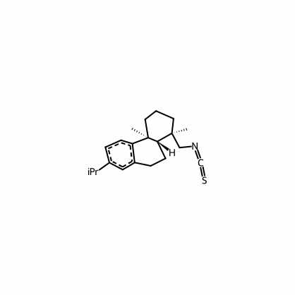 CC(C)c1ccc2c(c1)CC[C@H]1[C@](C)(CN=C=S)CCC[C@]21C